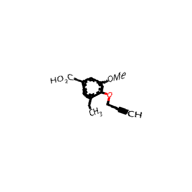 C#CCOc1c(C)cc(C(=O)O)cc1OC